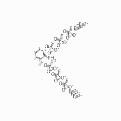 Fc1ccccc1P.O=P([O-])([O-])F.O=P([O-])([O-])F.O=P([O-])([O-])F.O=P([O-])([O-])F.O=P([O-])([O-])F.O=P([O-])([O-])F.[Fe+2].[Fe+2].[Fe+2].[Fe+2].[Fe+2].[Fe+2]